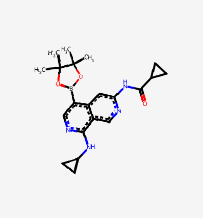 CC1(C)OB(c2cnc(NC3CC3)c3cnc(NC(=O)C4CC4)cc23)OC1(C)C